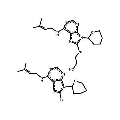 CC(C)=CCNc1ncnc2c1nc(Br)n2C1CCCCO1.CC(C)=CCNc1ncnc2c1nc(NCCO)n2C1CCCCO1